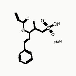 C=CC(=O)NC(C=Cc1ccccc1)C(C)CS(=O)(=O)O.[NaH]